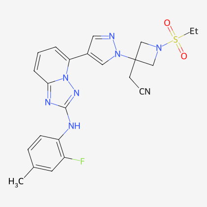 CCS(=O)(=O)N1CC(CC#N)(n2cc(-c3cccc4nc(Nc5ccc(C)cc5F)nn34)cn2)C1